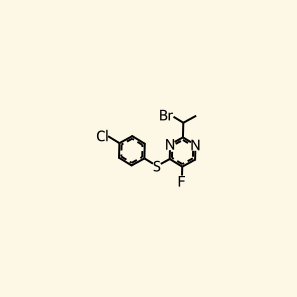 CC(Br)c1ncc(F)c(Sc2ccc(Cl)cc2)n1